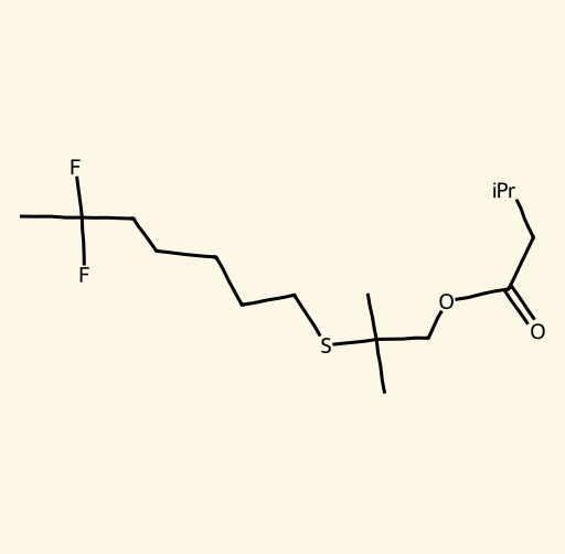 CC(C)CC(=O)OCC(C)(C)SCCCCCC(C)(F)F